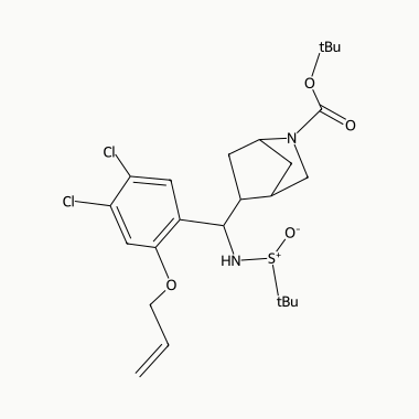 C=CCOc1cc(Cl)c(Cl)cc1C(N[S+]([O-])C(C)(C)C)C1CC2CC1CN2C(=O)OC(C)(C)C